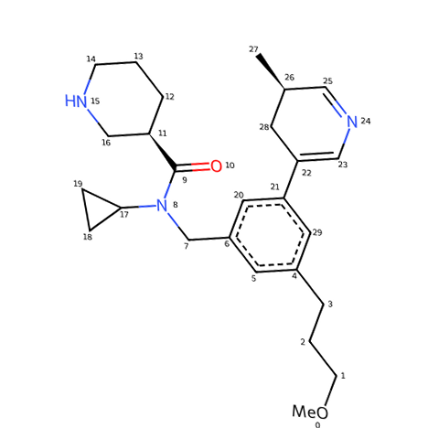 COCCCc1cc(CN(C(=O)[C@@H]2CCCNC2)C2CC2)cc(C2=CN=C[C@H](C)C2)c1